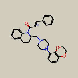 O=C(/C=C/c1ccccc1)N1c2ccccc2CCC1CN1CCN(c2cccc3c2OCCO3)CC1